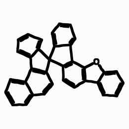 c1ccc2c(c1)-c1c(ccc3ccccc13)C21c2ccccc2-c2c1ccc1c2oc2ccccc21